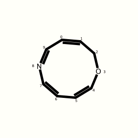 C1=CCOC=CC=CN=C1